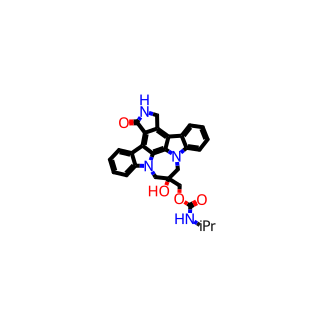 CC(C)NC(=O)OCC1(O)Cn2c3ccccc3c3c4c(c5c6ccccc6n(c5c32)C1)C(=O)NC4